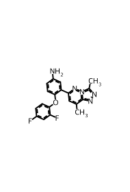 Cc1cc(-c2cc(N)ccc2Oc2ccc(F)cc2F)nn2c(C)nnc12